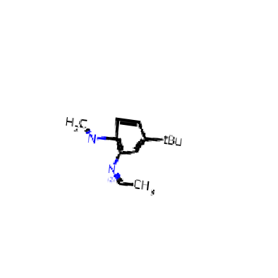 C=Nc1ccc(C(C)(C)C)cc1/N=C\C